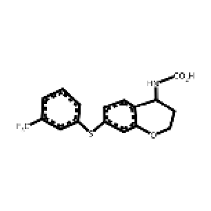 O=C(O)NC1CCOc2cc(Sc3cccc(C(F)(F)F)c3)ccc21